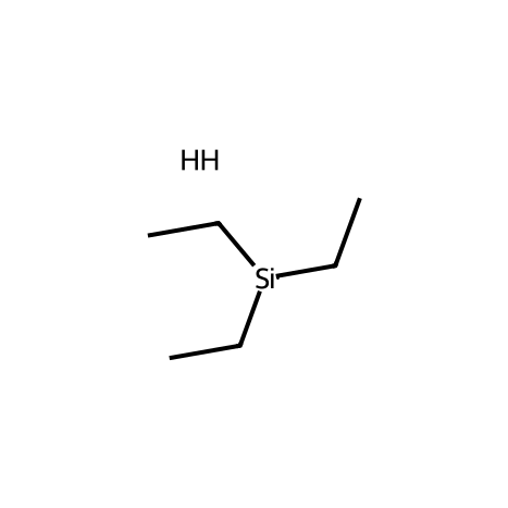 CC[Si](CC)CC.[HH]